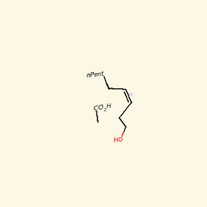 CC(=O)O.CCCCCC/C=C\CCO